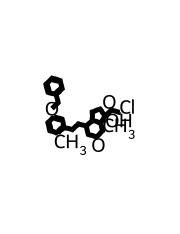 Cc1ccc(OCc2ccccc2)cc1CCC1CC(=O)CC2(C)C1CCC2(O)C(=O)CCl